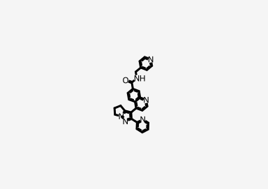 O=C(NCc1ccncc1)c1ccc2c(-c3c(-c4ccccn4)nn4c3CCC4)ccnc2c1